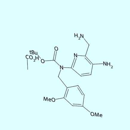 CC(=O)O.COc1ccc(CN(C(=O)OC(C)(C)C)c2ccc(N)c(CN)n2)c(OC)c1